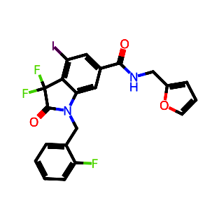 O=C(NCc1ccco1)c1cc(I)c2c(c1)N(Cc1ccccc1F)C(=O)C2(F)F